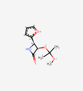 COC(C)(C)O[C@H]1C(=O)N[C@H]1c1ccco1